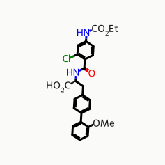 CCOC(=O)Nc1ccc(C(=O)N[C@@H](Cc2ccc(-c3ccccc3OC)cc2)C(=O)O)c(Cl)c1